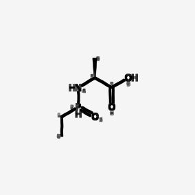 CC[PH](=O)N[C@@H](C)C(=O)O